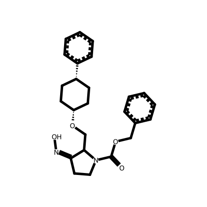 O=C(OCc1ccccc1)N1CCC(=NO)C1CO[C@H]1CC[C@@H](c2ccccc2)CC1